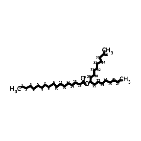 CCCCCCCCCCCCCCCCCC(=O)OC(CCCCCCCC)CCCCCCCCC